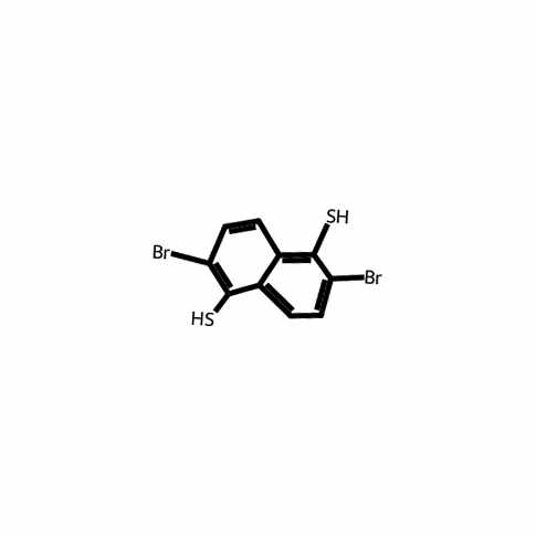 Sc1c(Br)ccc2c(S)c(Br)ccc12